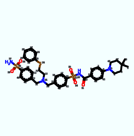 CC1(C)CCN(c2ccc(C(=O)NS(=O)(=O)c3ccc(CN(CCSc4ccccc4)Cc4ccc(S(N)(=O)=O)cc4)cc3)cc2)CC1